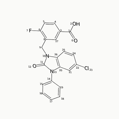 O=C(O)c1ccc(F)c(Cn2c(=O)n(-c3ccccc3)c3cc(Cl)ccc32)c1